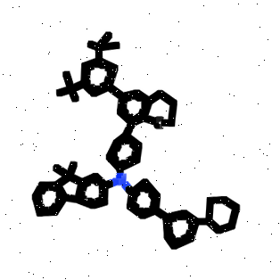 CC(C)(C)c1cc(-c2cc3c(c(-c4ccc(N(c5ccc(-c6cccc(C7CCCCC7)c6)cc5)c5ccc6c(c5)C(C)(C)c5ccccc5-6)cc4)c2)CCCC3)cc(C(C)(C)C)c1